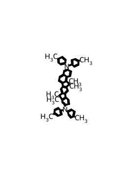 Cc1ccc(N(c2ccc(C)cc2)c2ccc3c(c2)C(C)(C)c2cc4c(cc2-3)C(C)(C)c2c-4ccc3cc(N(c4ccc(C)cc4)c4ccc(C)cc4)ccc23)cc1